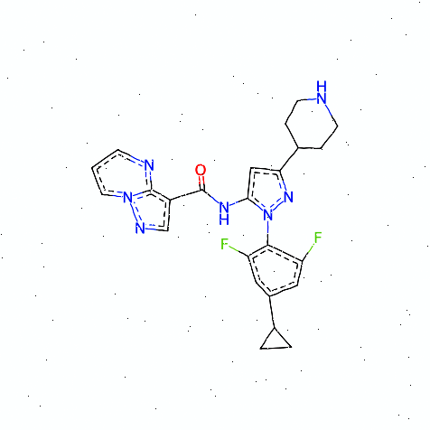 O=C(Nc1cc(C2CCNCC2)nn1-c1c(F)cc(C2CC2)cc1F)c1cnn2cccnc12